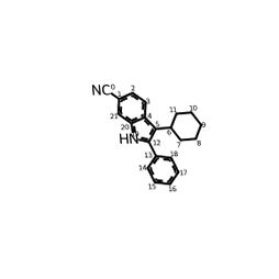 N#Cc1ccc2c(C3CCCCC3)c(-c3ccccc3)[nH]c2c1